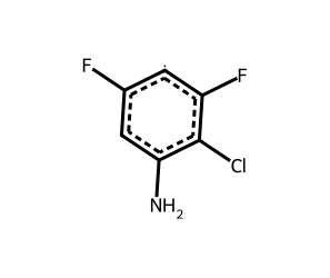 Nc1cc(F)[c]c(F)c1Cl